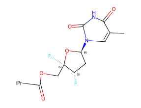 Cc1cn([C@H]2C[C@H](F)[C@@](F)(COC(=O)C(C)C)O2)c(=O)[nH]c1=O